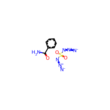 NC(=O)c1ccccc1.[N-]=[N+]=NS(=O)(=O)N=[N+]=[N-]